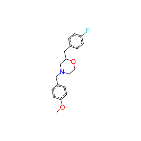 COc1ccc(CN2CCOC(Cc3ccc(F)cc3)C2)cc1